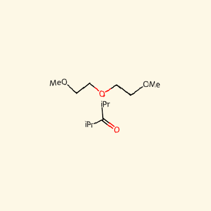 CC(C)C(=O)C(C)C.COCCOCCOC